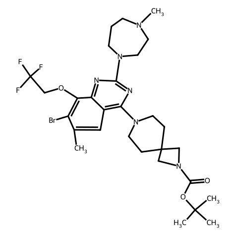 Cc1cc2c(N3CCC4(CC3)CN(C(=O)OC(C)(C)C)C4)nc(N3CCCN(C)CC3)nc2c(OCC(F)(F)F)c1Br